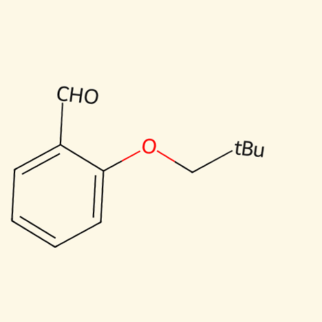 CC(C)(C)COc1ccccc1C=O